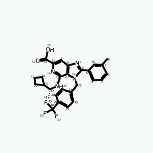 Cc1cccc(-c2nc3cc(C(=O)O)nc(N[C@H](C)C4CCC4)c3n2Cc2ccc(C(F)(F)F)cc2)c1